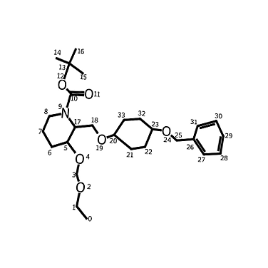 CCOCOC1CCCN(C(=O)OC(C)(C)C)C1COC1CCC(OCc2ccccc2)CC1